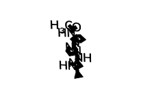 CC(=O)NC12CCC(C1)N(c1nccc(Nc3cc(C4CC4)[nH]n3)n1)C2